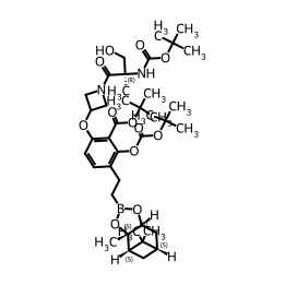 CC(C)(C)OC(=O)N[C@](C)(CO)C(=O)N1CC(Oc2ccc(CCB3O[C@@H]4C[C@@H]5C[C@@H](C5(C)C)[C@]4(C)O3)c(OC(=O)OC(C)(C)C)c2C(=O)OC(C)(C)C)C1